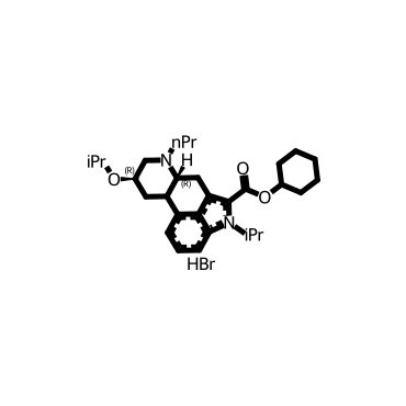 Br.CCCN1C[C@H](OC(C)C)CC2c3cccc4c3c(c(C(=O)OC3CCCCC3)n4C(C)C)C[C@H]21